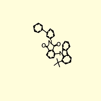 CC(C)(C)c1cccc2c3ccccc3n(-c3cccc4c3C(=O)N(c3cccc(-c5ccccc5)c3)C4=O)c12